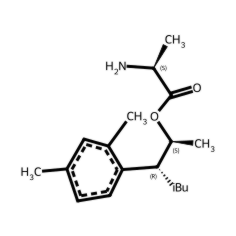 CCC(C)[C@H](c1ccc(C)cc1C)[C@H](C)OC(=O)[C@H](C)N